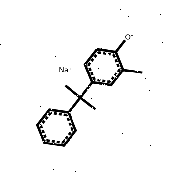 Cc1cc(C(C)(C)c2ccccc2)ccc1[O-].[Na+]